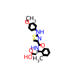 COc1ccc(Nc2nc(C(=O)N[C@@H](CC(=O)O)c3ccccc3C)cs2)cc1